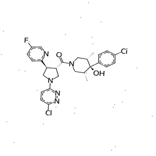 C[C@@H]1CN(C(=O)[C@@H]2CN(c3ccc(Cl)nn3)C[C@H]2c2ccc(F)cn2)C[C@H](C)[C@]1(O)c1ccc(Cl)cc1